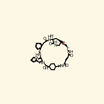 O=C1/C=C/C(=O)N[C@H]2CC[C@H](CC2)C(=O)NC(Cc2ccco2)C(=O)NCc2ccccc2CC(=O)N[C@H]2Cc3ccc(cc3CNC2=O)CN1